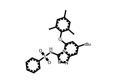 Cc1cc(C)c(Oc2cc(C(C)(C)C)cc3nnc(NS(=O)(=O)c4ccccc4)n23)c(C)c1